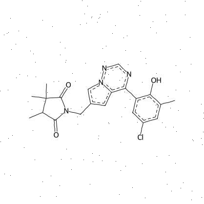 Cc1cc(Cl)cc(-c2ncnn3cc(CN4C(=O)C(C)C(C)(C)C4=O)cc23)c1O